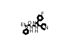 CCN(C(=O)Nc1nc(-c2ccc(F)cc2)c(-c2ccncc2)[nH]1)c1ccccc1